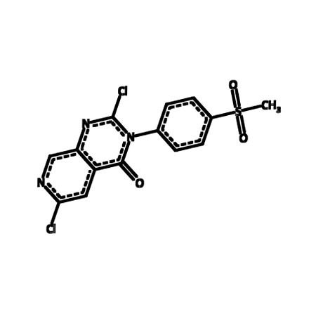 CS(=O)(=O)c1ccc(-n2c(Cl)nc3cnc(Cl)cc3c2=O)cc1